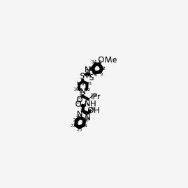 COc1ccc2sc(SC3CCN(C(=O)[C@@H](NC(=O)c4nc5ccccc5nc4O)C(C)C)CC3)nc2c1